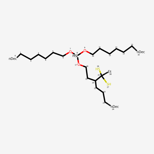 CCCCCCCCCCCCCCCCO[SiH](OCCCCCCCCCCCCCCCC)OCCC(CCCCCCCCCCCCC)C(S)(S)CC